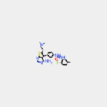 Cc1ccc(F)c(NC(=O)Nc2ccc(-c3c(CCN(C)C)sc4ncnc(N)c34)cc2)c1